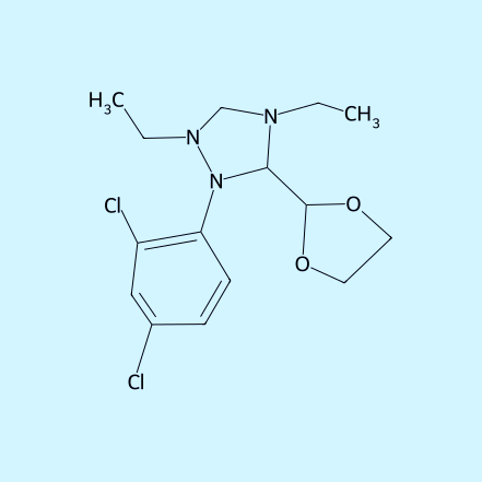 CCN1CN(CC)N(c2ccc(Cl)cc2Cl)C1C1OCCO1